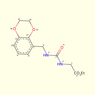 CCOC(=O)CNC(=O)NCc1cccc2c1OCCO2